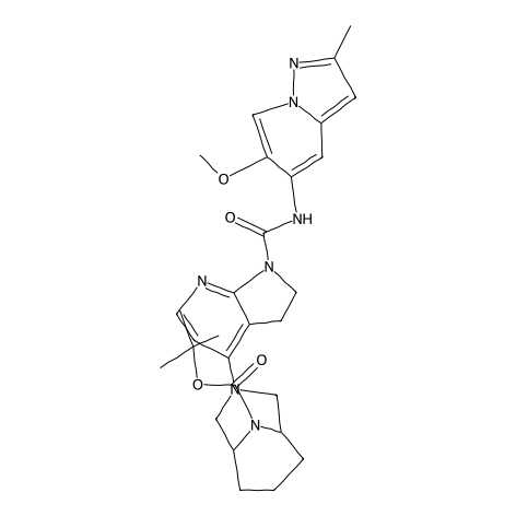 COc1cn2nc(C)cc2cc1NC(=O)N1CCc2c(N3CC4CCCC(C3)N4C(=O)OC(C)(C)C)ccnc21